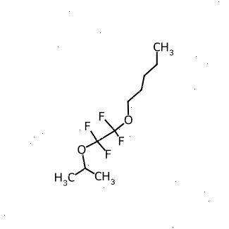 CCCCCOC(F)(F)C(F)(F)OC(C)C